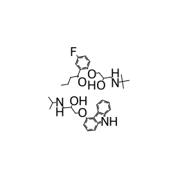 CC(C)NCC(O)COc1cccc2[nH]c3ccccc3c12.CCCC(=O)c1cc(F)ccc1OCC(O)CNC(C)(C)C